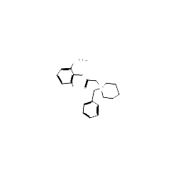 CCOC(=O)c1cccc(OC)c1NC(=O)C[PH]1(Cc2ccccc2)CCCCC1